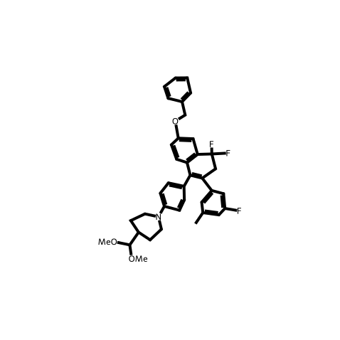 COC(OC)C1CCN(c2ccc(C3=C(c4cc(C)cc(F)c4)CC(F)(F)c4cc(OCc5ccccc5)ccc43)cc2)CC1